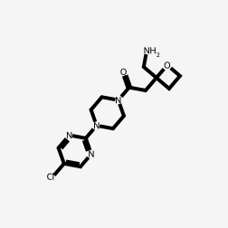 NCC1(CC(=O)N2CCN(c3ncc(Cl)cn3)CC2)CCO1